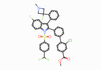 COC(=O)c1ccc(-c2cccc(-c3c(-c4ccccc4C4(F)CN(C)C4)c4cc(F)ccc4n3S(=O)(=O)c3ccc(C(F)F)cc3)c2)c(Cl)c1